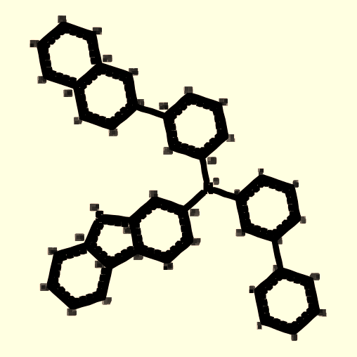 c1ccc(-c2cccc(N(c3cccc(-c4ccc5ccccc5c4)c3)c3ccc4c(c3)sc3ccccc34)c2)cc1